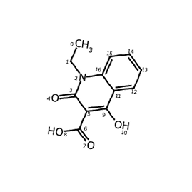 CCn1c(=O)c(C(=O)O)c(O)c2ccccc21